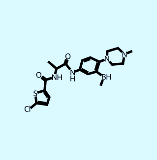 CBc1cc(NC(=O)C(C)NC(=O)c2ccc(Cl)s2)ccc1N1CCN(C)CC1